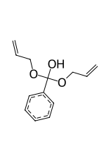 C=CCOC(O)(OCC=C)c1ccccc1